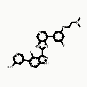 CN(C)CCNc1cc(F)cc(-c2cncc3[nH]c(-c4n[nH]c5cnc(-c6cncc(N)c6)c(F)c45)nc23)c1